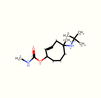 CNC(=O)OC1/C=C/CC(C)(NC(C)(C)C)CCC1